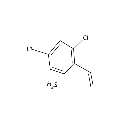 C=Cc1ccc(Cl)cc1Cl.S